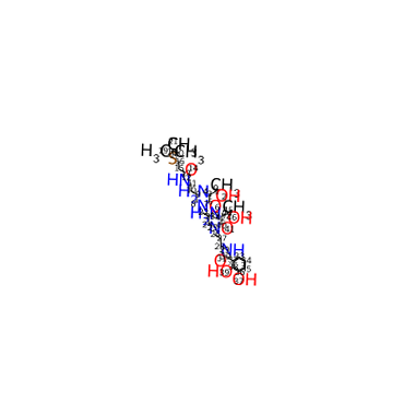 CC(O)[C@H](N)C(=O)N(CCCCNC(=O)CCSC(C)(C)C)CCCN(CCCNC(=O)c1cccc(O)c1O)C(=O)C(N)[C@@H](C)O